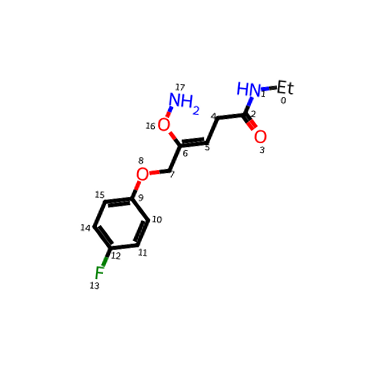 CCNC(=O)C/C=C(/COc1ccc(F)cc1)ON